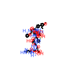 CCc1cc(OC)ccc1-c1ccc(C[C@H](NC(=O)[C@H](CC(=O)O)NC(=O)[C@H](CO)NC(=O)[C@@H](NC(=O)[C@](C)(Cc2ccccc2F)NC(=O)[C@@H](NC(=O)CNC(=O)[C@H](CCC(=O)O)NC(=O)C(C)(C)NC(=O)[C@@H](N)Cc2c[nH]cn2)[C@@H](C)O)[C@@H](C)O)C(=O)N[C@@H](CCOc2ccccc2)C(N)=O)cc1